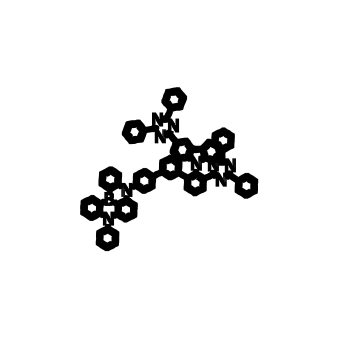 c1ccc(-c2nc(-c3ccccc3)nc(-c3ccc4c(c3)c3ccccc3n4-c3c(-c4cccc(-c5ccc(N6c7ccccc7B7c8ccccc8N(c8ccccc8)c8cccc6c87)cc5)c4)cccc3-c3nc(-c4ccccc4)nc(-c4ccccc4)n3)n2)cc1